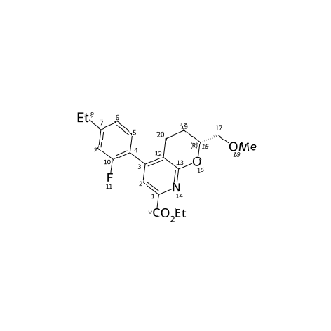 CCOC(=O)c1cc(-c2ccc(CC)cc2F)c2c(n1)O[C@@H](COC)CC2